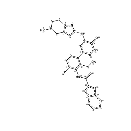 CN1CCn2nc(Nc3cc(-c4ccc(F)c(NC(=O)c5cc6ccccc6s5)c4CO)n[nH]c3=O)cc2C1